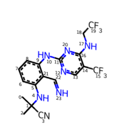 CC(C)(C#N)Nc1cccc(Nc2ncc(C(F)(F)F)c(NCC(F)(F)F)n2)c1C=N